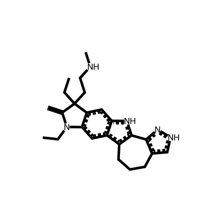 C=C1N(CC)c2cc3c4c([nH]c3cc2C1(CC)CCNC)-c1n[nH]cc1CCC4